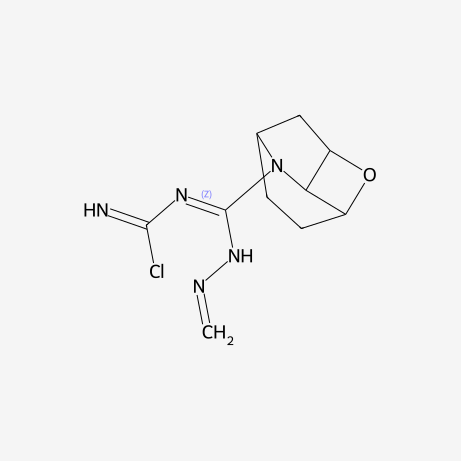 C=NN/C(=N\C(=N)Cl)N1C2CCC3OC(C2)C31